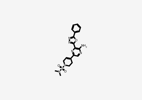 CN(C)S(=O)(=O)N1CC=C(c2cnc(N)c(-c3nnc(-c4ccccc4)o3)n2)CC1